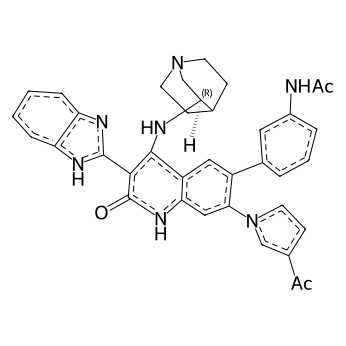 CC(=O)Nc1cccc(-c2cc3c(N[C@H]4CN5CCC4CC5)c(-c4nc5ccccc5[nH]4)c(=O)[nH]c3cc2-n2ccc(C(C)=O)c2)c1